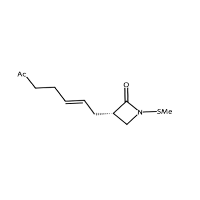 CSN1C[C@H](C/C=C/CCC(C)=O)C1=O